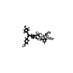 CCCC(=O)Oc1c(OC)ccnc1C(=O)N[C@@H](C)c1noc(C2C(c3ccc(F)cc3)C2c2ccc(Cl)cc2)n1